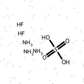 F.F.N.N.N.O=S(=O)(O)O